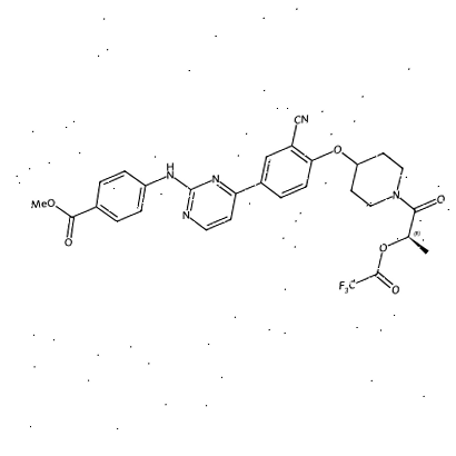 COC(=O)c1ccc(Nc2nccc(-c3ccc(OC4CCN(C(=O)[C@@H](C)OC(=O)C(F)(F)F)CC4)c(C#N)c3)n2)cc1